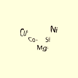 [Co].[Cu].[Mg].[Ni].[Si]